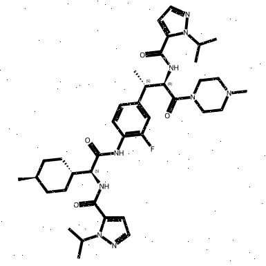 CC(C)n1nccc1C(=O)N[C@@H](C(=O)N1CCN(C)CC1)[C@@H](C)c1ccc(NC(=O)[C@@H](NC(=O)c2ccnn2C(C)C)[C@H]2CC[C@H](C)CC2)c(F)c1